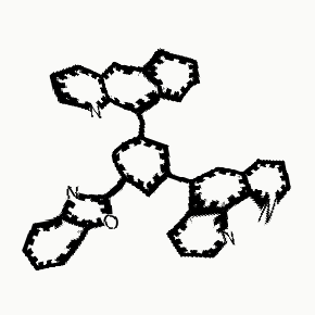 c1ccc2c(-c3cc(-c4nc5ccccc5o4)cc(-c4cc5cccnc5c5ncccc45)c3)c3ncccc3cc2c1